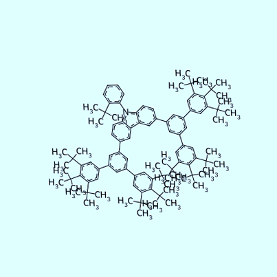 CC(C)(C)c1ccccc1-n1c2ccc(-c3cc(-c4cc(C(C)(C)C)c(C(C)(C)C)c(C(C)(C)C)c4)cc(-c4cc(C(C)(C)C)c(C(C)(C)C)c(C(C)(C)C)c4)c3)cc2c2cc(-c3cc(-c4cc(C(C)(C)C)c(C(C)(C)C)c(C(C)(C)C)c4)cc(-c4cc(C(C)(C)C)c(C(C)(C)C)c(C(C)(C)C)c4)c3)ccc21